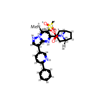 CNc1c(S(C)(=O)=O)c(C2CC3CC[C@H](C2)N3C(=O)OC(C)(C)C)nc2c(-c3ccc(-c4ccccc4)nc3)cnn12